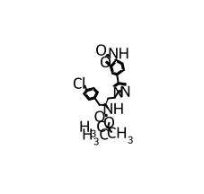 CC(C)(C)OC(=O)N[C@H](CCn1cc(-c2ccc3[nH]c(=O)oc3c2)cn1)Cc1ccc(Cl)cc1